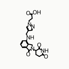 O=C(O)CCn1cc(CNc2cccc3c2CN(C2CCC(=O)NC2=O)C3=O)cn1